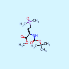 COC(=O)/C(=C/CP(C)(C)=O)NC(=O)OC(C)(C)C